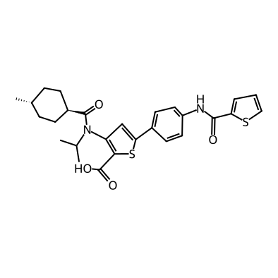 CC(C)N(c1cc(-c2ccc(NC(=O)c3cccs3)cc2)sc1C(=O)O)C(=O)[C@H]1CC[C@H](C)CC1